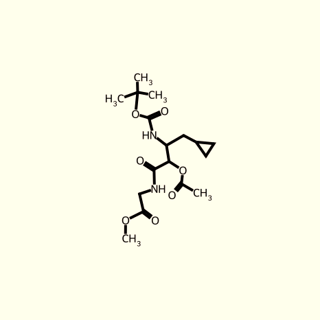 COC(=O)CNC(=O)C(OC(C)=O)C(CC1CC1)NC(=O)OC(C)(C)C